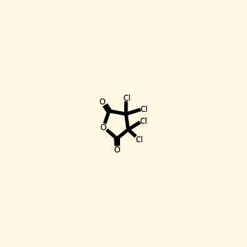 O=C1OC(=O)C(Cl)(Cl)C1(Cl)Cl